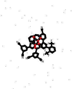 N#Cc1cc(C#N)cc(-c2ccc3c(c2)c2ccccc2n3-c2ccc(-c3c(C(F)(F)F)cccc3C(F)(F)F)cc2-c2ccc(C#N)cc2-n2c3ccccc3c3cc(-c4cc(C#N)cc(C#N)c4)ccc32)c1